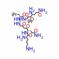 CC(C)C[C@H](NCN[C@@H](C)C(=O)CC(=O)[C@H](CCC(N)=O)NC(=O)[C@@H](N)CCCCN)C(=O)N[C@H](C(=O)C(=O)[C@@H](N)CCC(N)=O)C(C)C